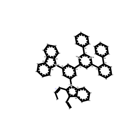 C=Cc1c(/C=C\C)n(-c2cc(-c3cc(-c4ccccc4-c4ccccc4)nc(-c4ccccc4)n3)cc(-n3c4ccccc4c4ccccc43)c2)c2ccccc12